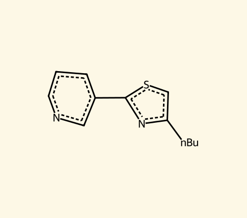 [CH2]CCCc1csc(-c2cccnc2)n1